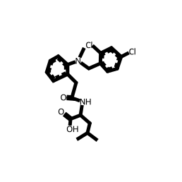 CC(C)CC(NC(=O)Cc1ccccc1N(C)Cc1ccc(Cl)cc1Cl)C(=O)O